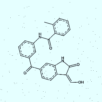 Cc1ccccc1C(=O)Nc1cccc(C(=O)c2ccc3c(c2)NC(=O)C3=CO)c1